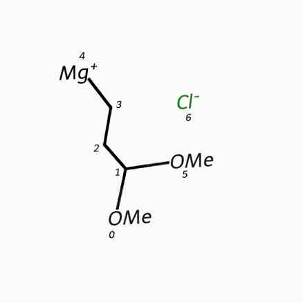 COC(C[CH2][Mg+])OC.[Cl-]